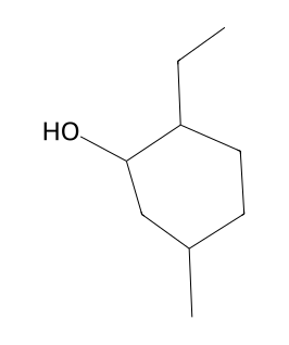 CCC1CCC(C)CC1O